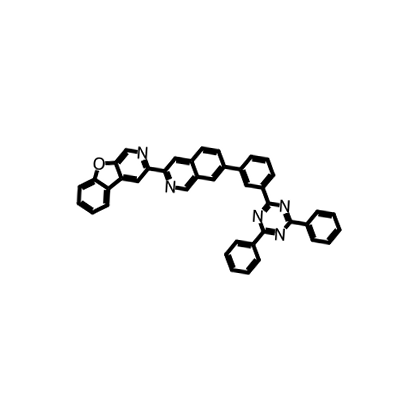 c1ccc(-c2nc(-c3ccccc3)nc(-c3cccc(-c4ccc5cc(-c6cc7c(cn6)oc6ccccc67)ncc5c4)c3)n2)cc1